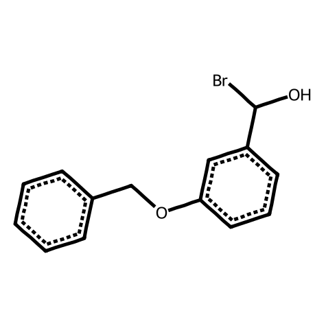 OC(Br)c1cccc(OCc2ccccc2)c1